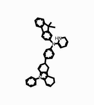 CC1(C)c2ccccc2-c2ccc(N(C3=CC=CCN3)c3ccc(C4C=Cc5c(c6c(n5-c5ccccc5)C=CCC6)C4)cc3)cc21